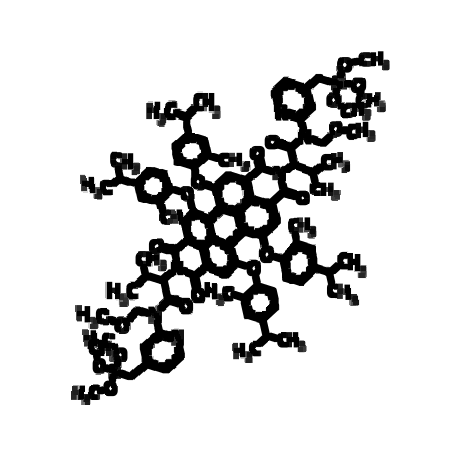 COCN(C(=O)C(C(C)C)N1C(=O)c2cc(Oc3ccc(C(C)C)cc3C)c3c4c(Oc5ccc(C(C)C)cc5C)cc5c6c(cc(Oc7ccc(C(C)C)cc7C)c(c7c(Oc8ccc(C(C)C)cc8C)cc(c2c37)C1=O)c64)C(=O)N(C(C(=O)N(COC)c1cc(C[Si](OC)(OC)OC)ccn1)C(C)C)C5=O)c1cc(C[Si](OC)(OC)OC)ccn1